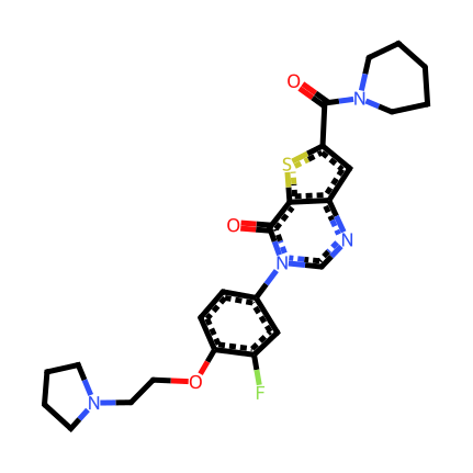 O=C(c1cc2ncn(-c3ccc(OCCN4CCCC4)c(F)c3)c(=O)c2s1)N1CCCCC1